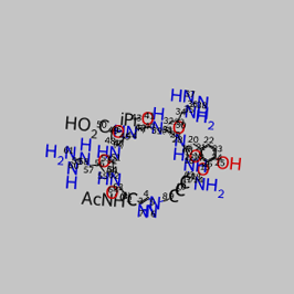 CC(=O)N[C@H]1Cc2cn(nn2)CCCC[C@@H](C(N)=O)NC(=O)[C@@H](Cc2ccc(O)cc2)NC(=O)[C@@H](CCCNC(=N)N)NC(=O)[C@@H](C(C)C)NC(=O)[C@@H](CCC(=O)O)NC(=O)[C@@H](CCCNC(=N)N)NC1=O